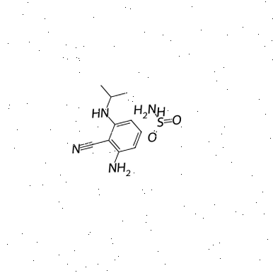 CC(C)Nc1cccc(N)c1C#N.N[SH](=O)=O